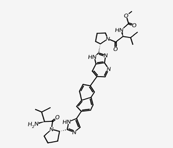 COC(=O)N[C@H](C(=O)N1CCC[C@H]1c1nc2ncc(-c3ccc4cc(-c5cnc([C@@H]6CCCN6C(=O)[C@@H](N)C(C)C)[nH]5)ccc4c3)cc2[nH]1)C(C)C